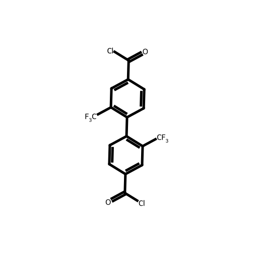 O=C(Cl)c1ccc(-c2ccc(C(=O)Cl)cc2C(F)(F)F)c(C(F)(F)F)c1